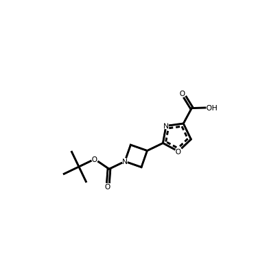 CC(C)(C)OC(=O)N1CC(c2nc(C(=O)O)co2)C1